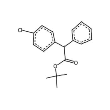 CC(C)(C)OC(=O)[C](c1ccccc1)c1ccc(Cl)cc1